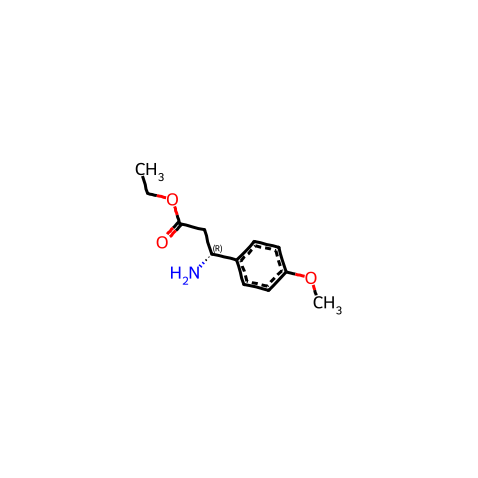 CCOC(=O)C[C@@H](N)c1ccc(OC)cc1